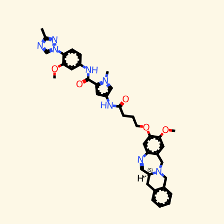 COc1cc2c(cc1OCCCC(=O)Nc1cc(C(=O)Nc3ccc(-n4cnc(C)n4)c(OC)c3)n(C)c1)N=C[C@@H]1Cc3ccccc3CN1C2